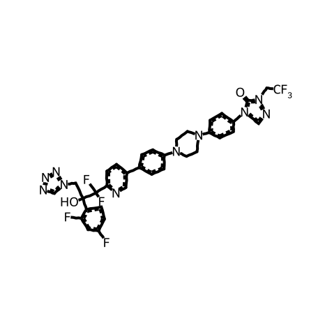 O=c1n(-c2ccc(N3CCN(c4ccc(-c5ccc(C(F)(F)C(O)(Cn6cnnn6)c6ccc(F)cc6F)nc5)cc4)CC3)cc2)cnn1CC(F)(F)F